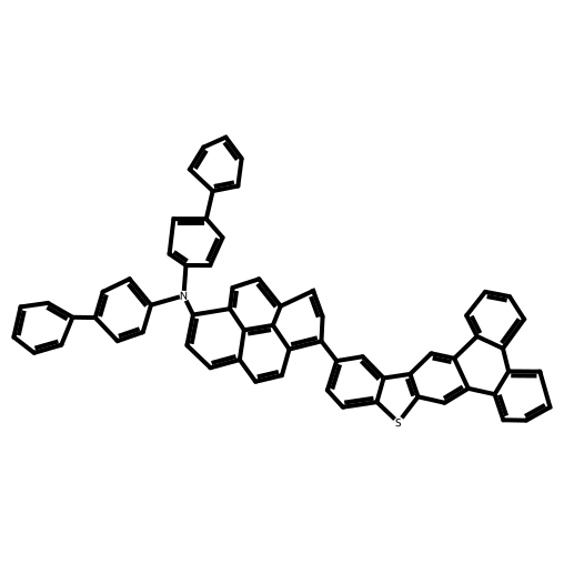 c1ccc(-c2ccc(N(c3ccc(-c4ccccc4)cc3)c3ccc4ccc5c(-c6ccc7sc8cc9c%10ccccc%10c%10ccccc%10c9cc8c7c6)ccc6ccc3c4c65)cc2)cc1